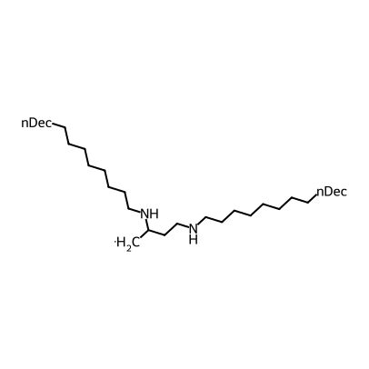 [CH2]C(CCNCCCCCCCCCCCCCCCCCC)NCCCCCCCCCCCCCCCCCC